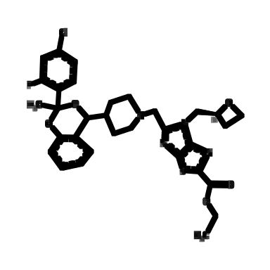 CCOC(=O)c1nc2c(nc(CN3CCC(C4OC(C)(c5ccc(Cl)cc5F)Oc5ccccc54)CC3)n2C[C@@H]2CCO2)s1